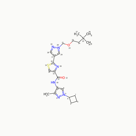 Cc1nn(C2CCC2)cc1NC(=O)c1csc(-c2cnn(COCC[Si](C)(C)C)c2)n1